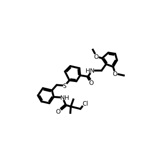 COc1cccc(OC)c1CNC(=O)c1cccc(SCc2ccccc2NC(=O)C(C)(C)CCl)c1